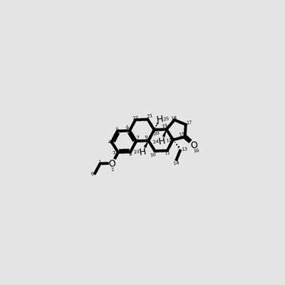 CCOc1[c]cc2c(c1)[C@H]1CC[C@]3(CC)C(=O)CC[C@H]3[C@@H]1CC2